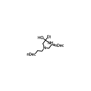 CCCCCCCCCCCCN(CCCCCCCCCCCC)CC(N)(O)CC